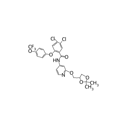 CC1(C)OCC(COc2cc(NC(=O)c3cc(Cl)c(Cl)cc3Oc3ccc(OC(F)(F)F)cc3)ccn2)O1